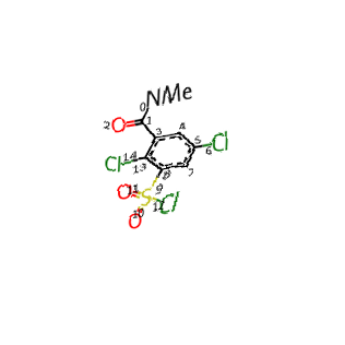 CNC(=O)c1cc(Cl)cc(S(=O)(=O)Cl)c1Cl